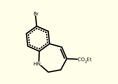 CCOC(=O)C1=Cc2cc(Br)ccc2NCC1